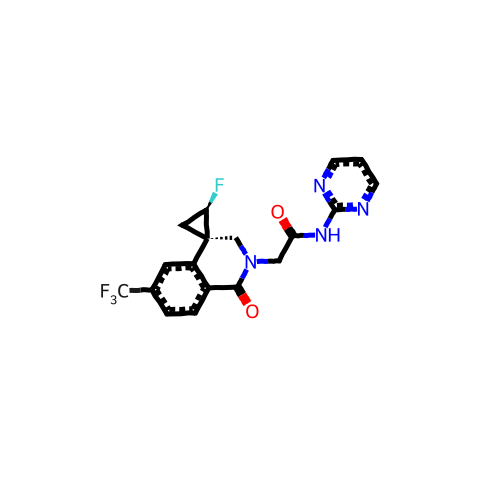 O=C(CN1C[C@@]2(C[C@H]2F)c2cc(C(F)(F)F)ccc2C1=O)Nc1ncccn1